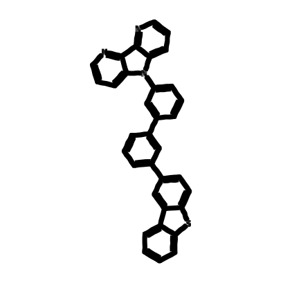 c1cc(-c2cccc(-n3c4cccnc4c4ncccc43)c2)cc(-c2ccc3sc4ccccc4c3c2)c1